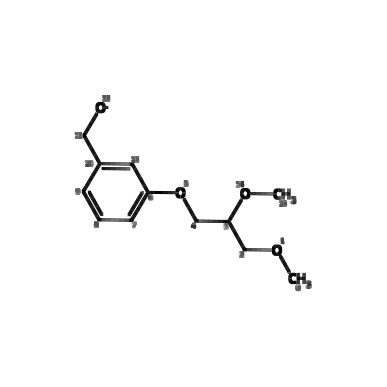 COCC(COc1cccc(C[O])c1)OC